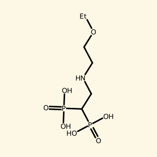 CCOCCNCC(P(=O)(O)O)P(=O)(O)O